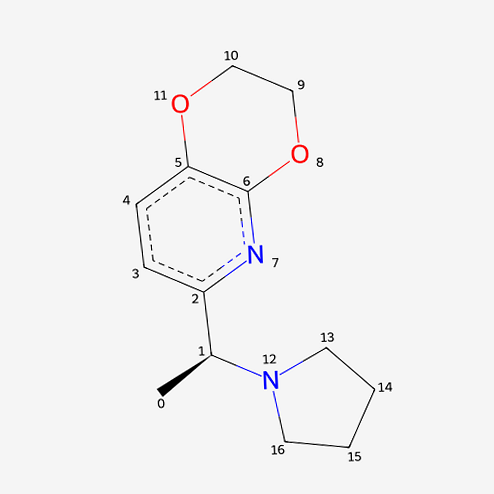 C[C@@H](c1ccc2c(n1)OCCO2)N1CCCC1